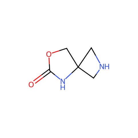 O=C1NC2(CNC2)CO1